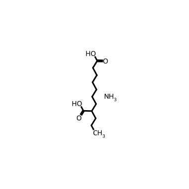 CCCC(CCCCCCC(=O)O)C(=O)O.N